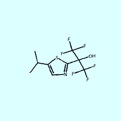 CC(C)c1cnc(C(O)(C(F)(F)F)C(F)(F)F)s1